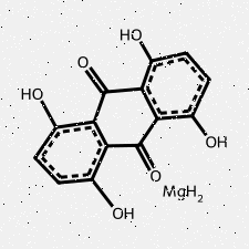 O=C1c2c(O)ccc(O)c2C(=O)c2c(O)ccc(O)c21.[MgH2]